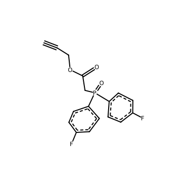 C#CCOC(=O)CP(=O)(c1ccc(F)cc1)c1ccc(F)cc1